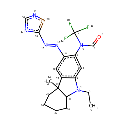 CCN1c2cc(N(C=O)C(F)(F)F)c(N=Nc3ncns3)cc2C2(C)CCCCC12